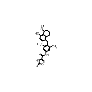 CCOC1CCCc2c(Cc3c(C)cc(NC(=O)c4noc(=O)[nH]4)cc3C)ccc(O)c21